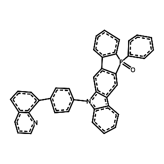 O=P1(c2ccccc2)c2ccccc2-c2cc3c(cc21)c1ccccc1n3-c1ccc(-c2cccc3cccnc23)cc1